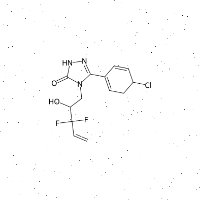 C=CC(F)(F)C(O)Cn1c(C2=CCC(Cl)C=C2)n[nH]c1=O